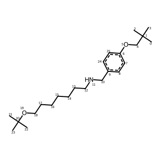 CC(C)(C)COc1ccc(CNCCCCCCCOC(C)(C)C)cc1